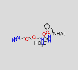 CC(=O)N[C@@H](Cc1ccccc1)C(=O)N[C@@H](CC(=O)O)C(=O)NCCOCCOCCN=[N+]=[N-]